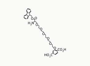 NC(COCCOCCOCCOCCOCCOc1cc(C(=O)O)ccc1C(=O)O)C(=O)OCC1c2ccccc2-c2ccccc21